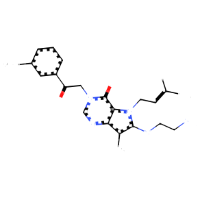 COc1cccc(C(=O)Cn2cnc3c(C#N)c(NCCN)n(CC=C(C)C)c3c2=O)c1